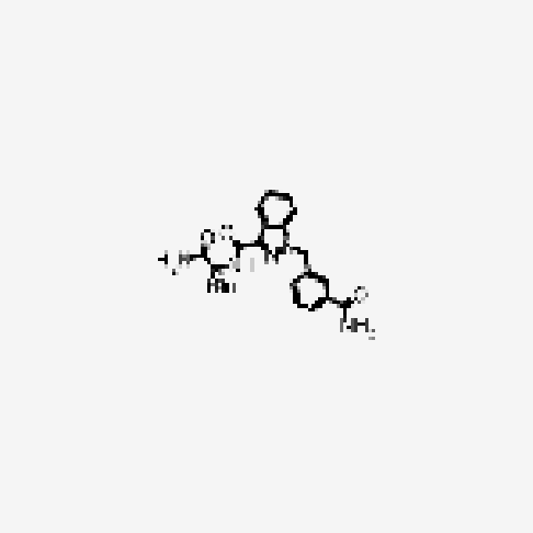 CC(C)(C)[C@H](NC(=O)c1nn(Cc2cccc(C(N)=O)c2)c2ccccc12)C(N)=O